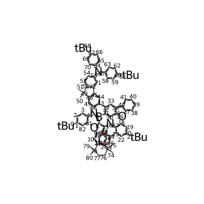 CC(C)(C)c1ccc(N2B3c4oc5cc6c(cc5c4N(c4ccc(C(C)(C)C)cc4-c4ccccc4)c4c3c(cc3c4oc4ccccc43)-c3cc4c(cc32)C(C)(C)c2ccc(N(c3ccc(C(C)(C)C)cc3)c3ccc(C(C)(C)C)cc3)cc2-4)C(C)(C)CCC6(C)C)cc1